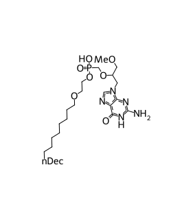 CCCCCCCCCCCCCCCCCCOCCOP(=O)(O)COC(COC)Cn1cnc2c(=O)[nH]c(N)nc21